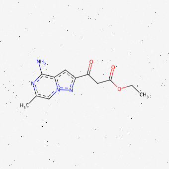 CCOC(=O)CC(=O)c1cc2c(N)nc(C)cn2n1